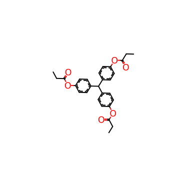 CCC(=O)Oc1ccc(C(c2ccc(OC(=O)CC)cc2)c2ccc(OC(=O)CC)cc2)cc1